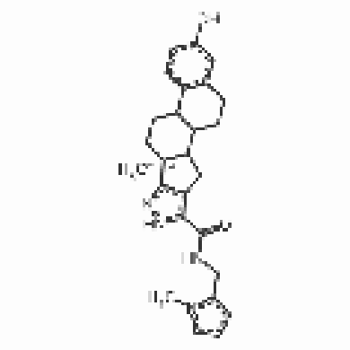 Cn1cccc1CNC(=O)c1[nH]nc2c1CC1C3CCc4cc(O)ccc4C3CC[C@]21C